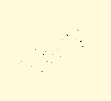 O=C1CCc2c(OC[C@]3(O)CCN(c4c(F)cc(Cl)cc4F)C[C@H]3F)ccc(F)c2N1